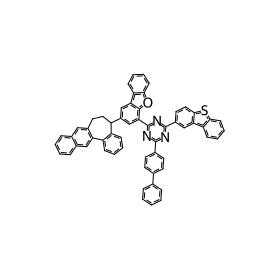 c1ccc(-c2ccc(-c3nc(-c4ccc5sc6ccccc6c5c4)nc(-c4cc(C5CCc6cc7ccccc7cc6-c6ccccc65)cc5c4oc4ccccc45)n3)cc2)cc1